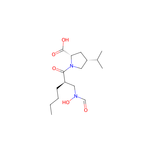 CCCC[C@H](CN(O)C=O)C(=O)N1C[C@@H](C(C)C)C[C@H]1C(=O)O